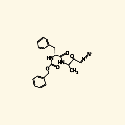 CC(NC(=O)[C@@H](Cc1ccccc1)NC(=O)OCc1ccccc1)C(=O)C=[N+]=[N-]